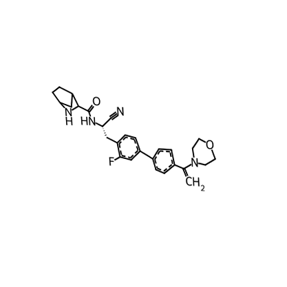 C=C(c1ccc(-c2ccc(C[C@@H](C#N)NC(=O)C3NC4CCC3C4)c(F)c2)cc1)N1CCOCC1